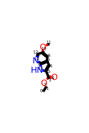 CCOC(=O)c1cc2cc(OC)cnc2[nH]1